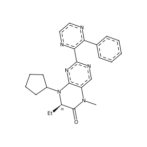 CC[C@@H]1C(=O)N(C)c2cnc(-c3nccnc3-c3ccccc3)nc2N1C1CCCC1